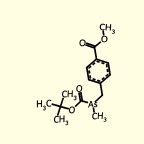 COC(=O)c1ccc(C[As](C)C(=O)OC(C)(C)C)cc1